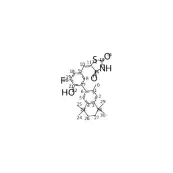 Cc1cc2c(cc1-c1cc(C=C3SC(=O)NC3=O)cc(F)c1O)C(C)(C)CCC2(C)C